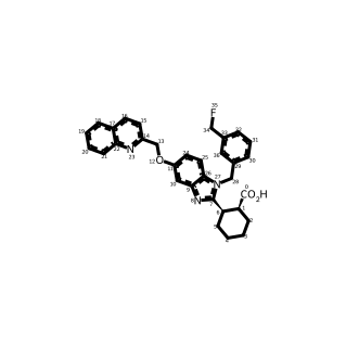 O=C(O)[C@H]1CCCC[C@H]1c1nc2cc(OCc3ccc4ccccc4n3)ccc2n1Cc1cccc(CF)c1